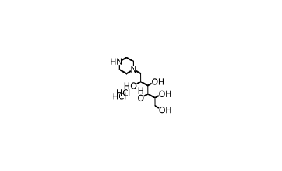 Cl.Cl.OCC(O)C(O)C(O)C(O)CN1CCNCC1